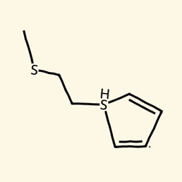 CSCC[SH]1C=[C]C=C1